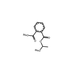 COC(=O)c1ccccc1C(=O)OC(C)OC